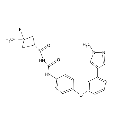 Cn1cc(-c2cc(Oc3ccc(NC(=O)NC(=O)[C@H]4C[C@](C)(F)C4)nc3)ccn2)cn1